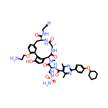 Cc1nc(-c2ccc(OC3CCCCC3)cc2)nc(C)c1C(=O)N[C@@H](CNS(N)(=O)=O)C(=O)N(C)[C@@H]1C(=O)N[C@@H](C)C(=O)N[C@H](C(=O)NCC#N)Cc2ccc(OCCN)c(c2)-c2cc1ccc2O